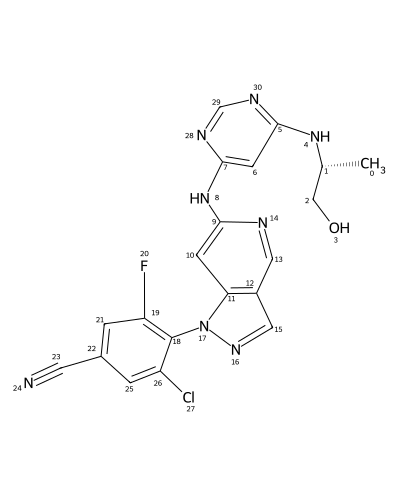 C[C@H](CO)Nc1cc(Nc2cc3c(cn2)cnn3-c2c(F)cc(C#N)cc2Cl)ncn1